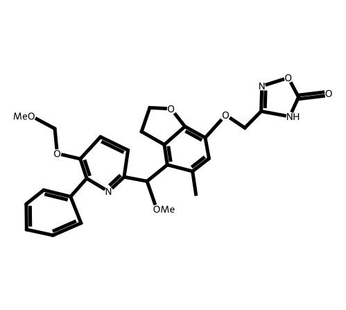 COCOc1ccc(C(OC)c2c(C)cc(OCc3noc(=O)[nH]3)c3c2CCO3)nc1-c1ccccc1